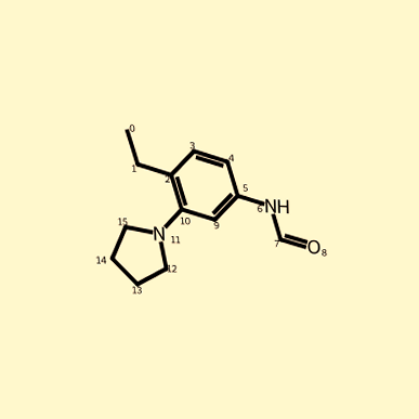 CCc1ccc(NC=O)cc1N1CCCC1